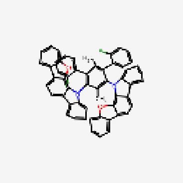 Cc1c(-c2ccccc2F)c(-n2c3ccccc3c3ccc4c5ccccc5oc4c32)c(C)c(-n2c3ccccc3c3ccc4c5ccccc5oc4c32)c1-c1ccccc1F